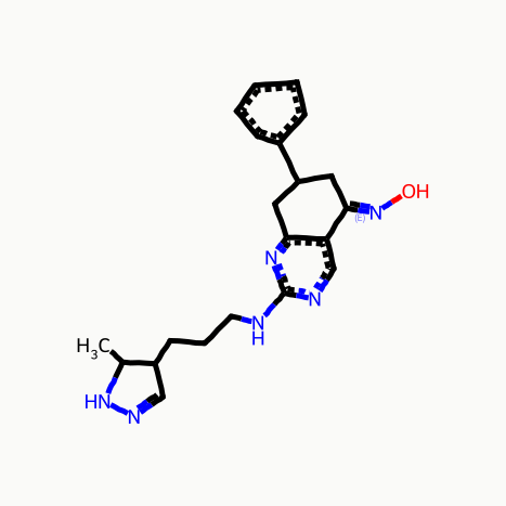 CC1NN=CC1CCCNc1ncc2c(n1)CC(c1ccccc1)C/C2=N\O